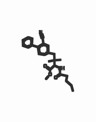 CCCCC(=O)NC(C(=O)OC)C(C)(C)Cc1ccc(-c2ccccc2)c(C#N)c1